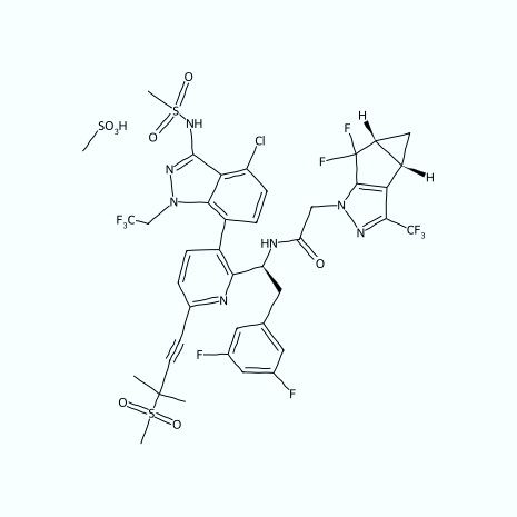 CC(C)(C#Cc1ccc(-c2ccc(Cl)c3c(NS(C)(=O)=O)nn(CC(F)(F)F)c23)c([C@H](Cc2cc(F)cc(F)c2)NC(=O)Cn2nc(C(F)(F)F)c3c2C(F)(F)[C@@H]2C[C@H]32)n1)S(C)(=O)=O.CS(=O)(=O)O